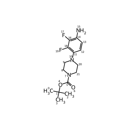 CC(C)(C)OC(=O)N1CCN(c2ccc(N)c(F)c2F)CC1